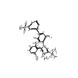 CCS(=O)(=O)c1cccc(-c2ccc(-n3cc(C(C)(C)O)nc3-c3c(Cl)cccc3Cl)c(F)c2)c1